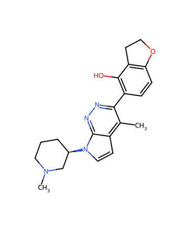 Cc1c(-c2ccc3c(c2O)CCO3)nnc2c1ccn2[C@@H]1CCCN(C)C1